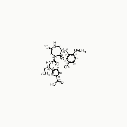 CC[C@@H](NC(=O)N1CC(=O)NC[C@H](Cc2cc(Cl)ccc2OC)C1=O)c1ccc(C(=O)O)s1